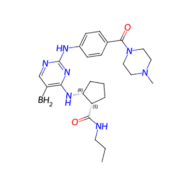 Bc1cnc(Nc2ccc(C(=O)N3CCN(C)CC3)cc2)nc1N[C@@H]1CCC[C@@H]1C(=O)NCCC